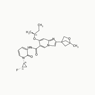 CC[C@H](C)Oc1cc2nc(C34COC(C)(C3)C4)cn2cc1C(=O)Nc1cccn([C@@H]2C[C@@H]2F)c1=O